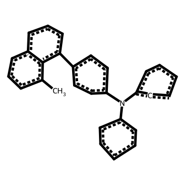 Cc1cccc2cccc(-c3ccc(N(c4ccccc4)c4ccccc4)cc3)c12